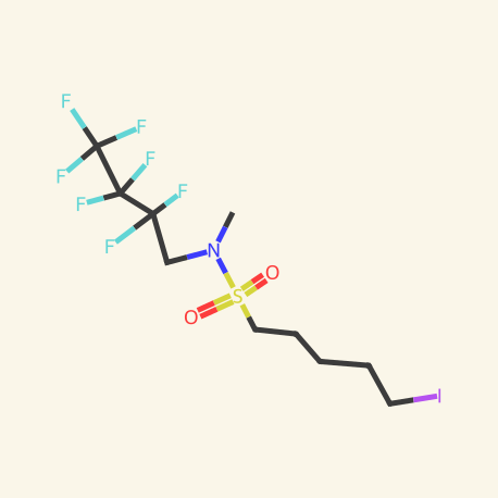 CN(CC(F)(F)C(F)(F)C(F)(F)F)S(=O)(=O)CCCCCI